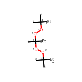 CCC(C)(C)OOC(C)(CC)OOC(C)(C)CC